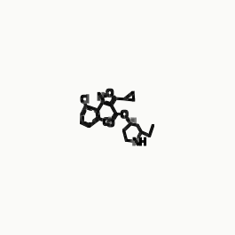 CCC1C[C@H](OC(=O)c2c(-c3c(Cl)cccc3Cl)noc2C2CC2)CCN1